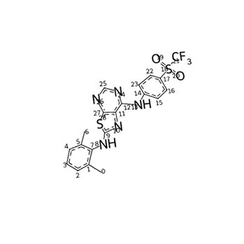 Cc1cccc(C)c1Nc1nc2c(Nc3ccc(S(=O)(=O)C(F)(F)F)cc3)ncnc2s1